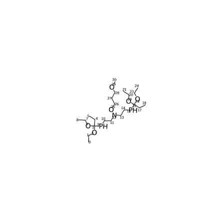 CCOC(CC)(OCC)PCCN(CCPC(CC)(OCC)OCC)OCCCOC